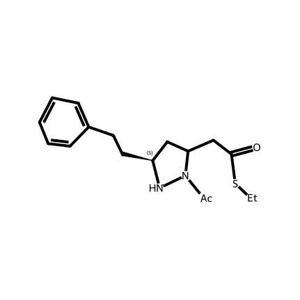 CCSC(=O)CC1C[C@H](CCc2ccccc2)NN1C(C)=O